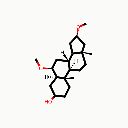 CO[C@@H]1CC2[C@H]3C[C@H](OC)[C@@H]4CC(O)CC[C@@]4(C)[C@@H]3CC[C@@]2(C)C1